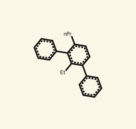 CCCc1ccc(-c2ccccc2)c(CC)c1-c1ccccc1